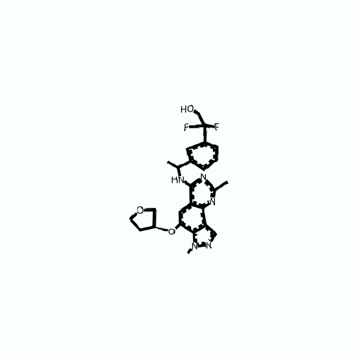 Cc1nc(NC(C)c2cccc(C(F)(F)CO)c2)c2cc(O[C@H]3CCOC3)c3c(cnn3C)c2n1